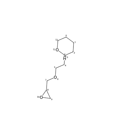 C1CC[SiH](CCOCC2CO2)OC1